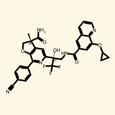 C[C@]1(C(N)=O)COc2c1cc([C@@](O)(CNC(=O)c1cc(OC3CC3)c3ncccc3c1)C(F)(F)F)nc2-c1ccc(C#N)cc1